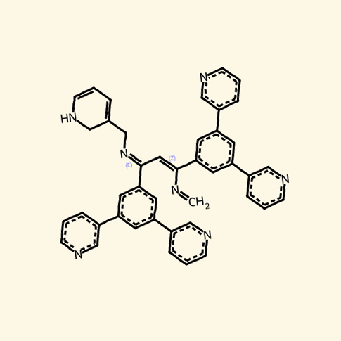 C=N/C(=C\C(=N/CC1=CC=CNC1)c1cc(-c2cccnc2)cc(-c2cccnc2)c1)c1cc(-c2cccnc2)cc(-c2cccnc2)c1